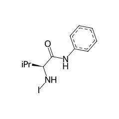 CC(C)[C@H](NI)C(=O)Nc1ccccc1